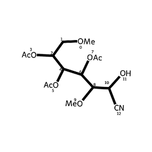 COCC(OC(C)=O)C(OC(C)=O)C(OC(C)=O)C(OC)C(O)C#N